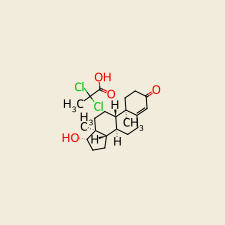 CC(Cl)(Cl)C(=O)O.C[C@]12CC[C@H]3[C@@H](CCC4=CC(=O)CC[C@@]43C)[C@@H]1CC[C@@H]2O